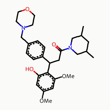 COc1cc(O)c(C(CC(=O)N2CC(C)CC(C)C2)c2ccc(CN3CCOCC3)cc2)c(OC)c1